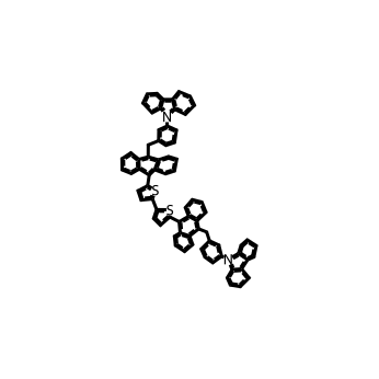 c1cc(Cc2c3ccccc3c(-c3ccc(-c4ccc(-c5c6ccccc6c(Cc6cccc(-n7c8ccccc8c8ccccc87)c6)c6ccccc56)s4)s3)c3ccccc23)cc(-n2c3ccccc3c3ccccc32)c1